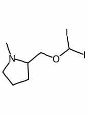 CN1CCCC1COC(I)I